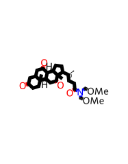 COCN(COC)C(=O)CC[C@@H](C)C1CC[C@H]2C3C(=O)CC4CC(=O)CCC4(C)[C@H]3CC(=O)C12C